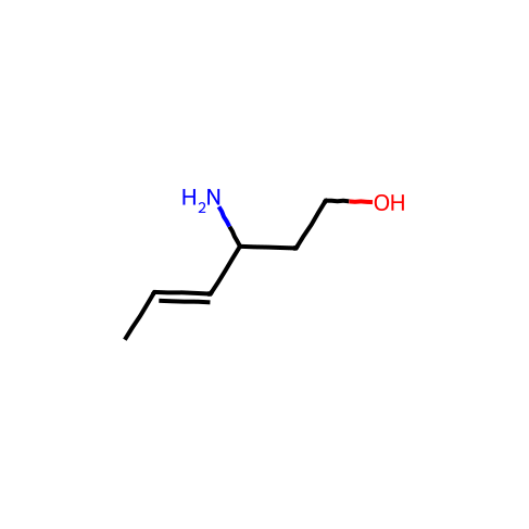 C/C=C/C(N)CCO